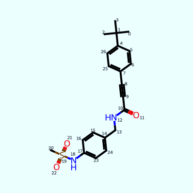 CC(C)(C)c1ccc(C#CC(=O)NCc2ccc(NS(C)(=O)=O)cc2)cc1